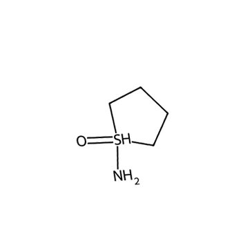 N[SH]1(=O)CCCC1